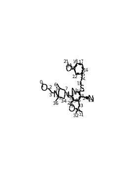 COCCN1C(C)CN(c2nc(SCCc3cccc(OC)c3)c(C#N)c3c2COC(C)(C)C3)CC1C